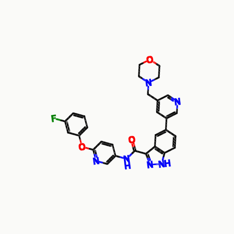 O=C(Nc1ccc(Oc2cccc(F)c2)nc1)c1n[nH]c2ccc(-c3cncc(CN4CCOCC4)c3)cc12